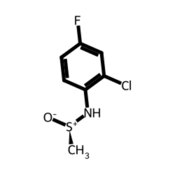 C[S@@+]([O-])Nc1ccc(F)cc1Cl